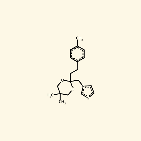 Cc1ccc(CCC2(Cn3ccnc3)OCC(C)(C)CO2)cc1